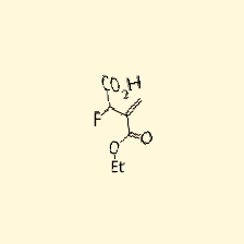 C=C(C(=O)OCC)C(F)C(=O)O